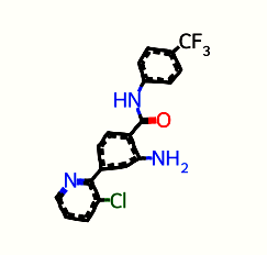 Nc1cc(-c2ncccc2Cl)ccc1C(=O)Nc1ccc(C(F)(F)F)cc1